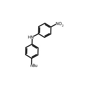 CCCCc1ccc(Nc2ccc([N+](=O)[O-])cc2)cc1